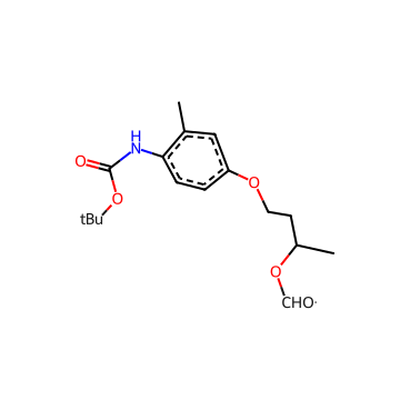 Cc1cc(OCCC(C)O[C]=O)ccc1NC(=O)OC(C)(C)C